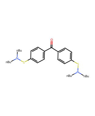 CCCCN(CCCC)Sc1ccc(C(=O)c2ccc(SN(CCCC)CCCC)cc2)cc1